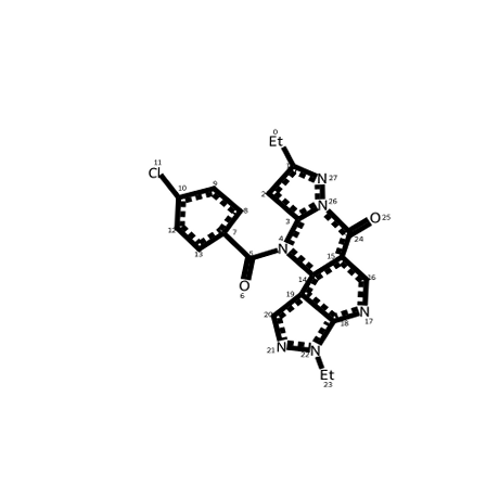 CCc1cc2n(C(=O)c3ccc(Cl)cc3)c3c(cnc4c3cnn4CC)c(=O)n2n1